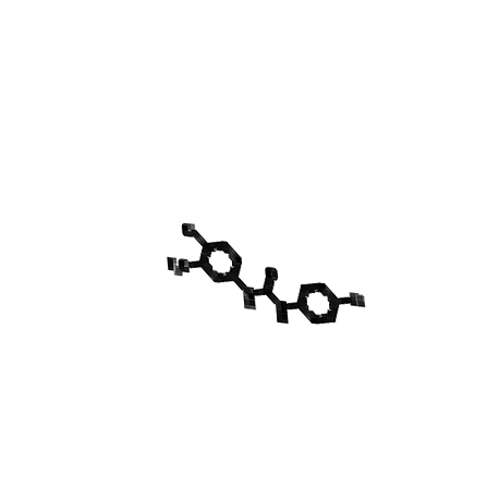 CCc1ccc(NC(=O)Nc2ccc(Cl)c(C(F)(F)F)c2)cc1